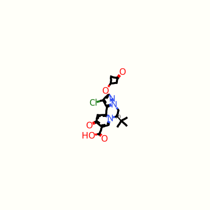 CC(C)(C)[C@@H]1Cn2nc(OC3CC(=O)C3)c(Cl)c2-c2cc(=O)c(C(=O)O)cn21